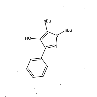 CCCCc1c(O)c(-c2ccccc2)nn1CCCC